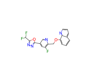 Fc1cc(-c2nnc(C(F)F)o2)cnc1COc1cccc2cccnc12